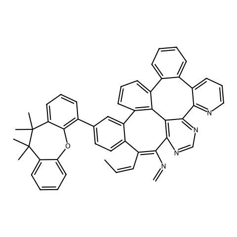 C=Nc1c(/C=C\C)c2ccc(-c3cccc4c3Oc3ccccc3C(C)(C)C4(C)C)cc2c2cccc3c2-c2c1ncnc2c1ncccc1c1ccccc31